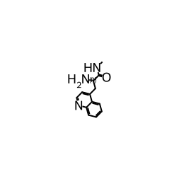 CNC(=O)[C@H](N)Cc1ccnc2ccccc12